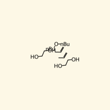 C=CC.C=CC.CCCCOCCCC.OCCO.OCCO